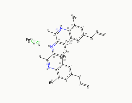 C=CCc1cc(C(C)C)c(/N=C(/C)c2cccc(/C(C)=N\c3c(C(C)C)cc(CC=C)cc3C(C)C)n2)c(C(C)C)c1.[Cl-].[Cl-].[Fe+2]